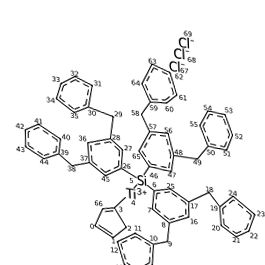 C1=CC[C]([Ti+3][Si](c2cc(Cc3ccccc3)cc(Cc3ccccc3)c2)(c2cc(Cc3ccccc3)cc(Cc3ccccc3)c2)c2cc(Cc3ccccc3)cc(Cc3ccccc3)c2)=C1.[Cl-].[Cl-].[Cl-]